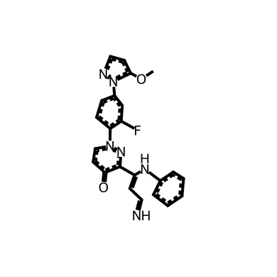 COc1ccnn1-c1ccc(-n2ccc(=O)c(/C(=C/C=N)Nc3ccccc3)n2)c(F)c1